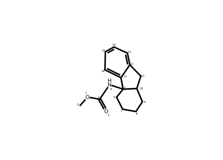 COC(=O)NC12CCCCC1Cc1ccccc12